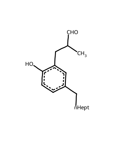 CCCCCCCCc1ccc(O)c(CC(C)C=O)c1